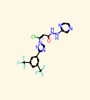 O=C(/C=C(/Cl)n1cnc(-c2cc(C(F)(F)F)cc(C(F)(F)F)c2)n1)NNc1cnccn1